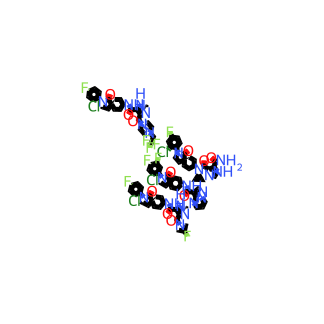 NC(=O)c1[nH]cnc1C(=O)N(C1CC1)[C@H]1CC[C@@]2(CCN(c3ccc(F)cc3Cl)C2=O)CC1.O=C(NC1CCC2(CC1)CCN(c1cc(F)c(F)cc1Cl)C2=O)c1cnn2cccnc12.O=C(N[C@H]1CC[C@@]2(CCN(c3ccc(F)cc3Cl)C2=O)CC1)c1[nH]cnc1C(=O)N1CC(F)C1.O=C(N[C@H]1CC[C@@]2(CCN(c3ccc(F)cc3Cl)C2=O)CC1)c1[nH]cnc1C(=O)N1CCN(CC(F)(F)F)CC1